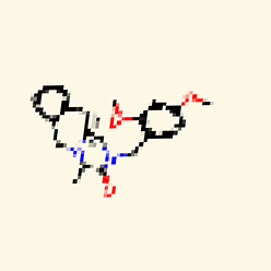 COc1ccc(CN2C[C@H]3Cc4ccccc4CN3C(C)C2=O)c(OC)c1